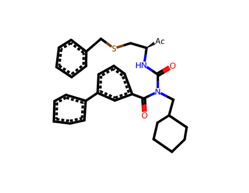 CC(=O)[C@H](CSCc1ccccc1)NC(=O)N(CC1CCCCC1)C(=O)c1cccc(-c2ccccc2)c1